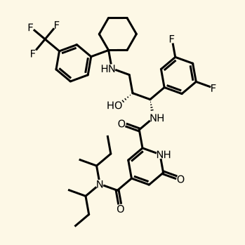 CCC(C)N(C(=O)c1cc(C(=O)N[C@@H](c2cc(F)cc(F)c2)[C@H](O)CNC2(c3cccc(C(F)(F)F)c3)CCCCC2)[nH]c(=O)c1)C(C)CC